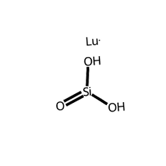 O=[Si](O)O.[Lu]